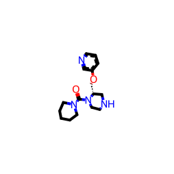 O=C(N1CCCCC1)N1CCNC[C@H]1COc1cccnc1